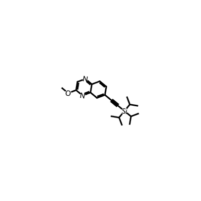 COc1cnc2ccc(C#C[Si](C(C)C)(C(C)C)C(C)C)cc2n1